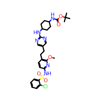 COc1nc(NS(=O)(=O)c2ccccc2Cl)ccc1CCc1cnc(NC2CCC(NC(=O)OC(C)(C)C)CC2)nc1